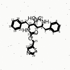 O=C(O)N[C@@H](Cc1ccccc1)C[C@H](O)[C@H](Cc1ccccc1)NC(=O)OCc1cncs1